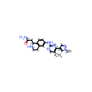 Cc1cnc(Nc2ccc3c(c2)CCNC3CC(N)=O)nc1-c1cnn(C(C)C)c1